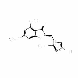 COc1cc(OC)c2c(c1)O/C(=C\n1cc(C)cc1C)C2=O